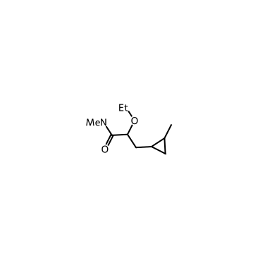 CCOC(CC1CC1C)C(=O)NC